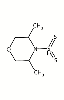 CC1COCC(C)N1[SH](=S)=S